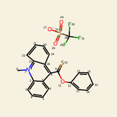 C[n+]1c2ccccc2c(C(=S)Oc2ccccc2)c2ccccc21.O=S(=O)([O-])C(F)(F)F